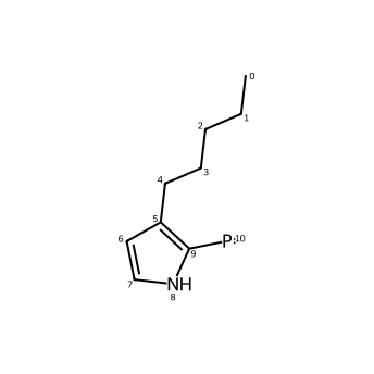 CCCCCc1cc[nH]c1[P]